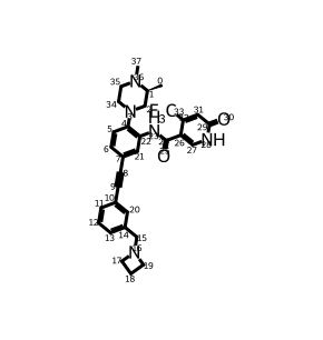 C[C@H]1CN(c2ccc(C#Cc3cccc(CN4CCC4)c3)cc2NC(=O)c2c[nH]c(=O)cc2C(F)(F)F)CCN1C